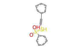 O=S(O)(=[SH]C#Cc1ccccc1)c1ccccc1